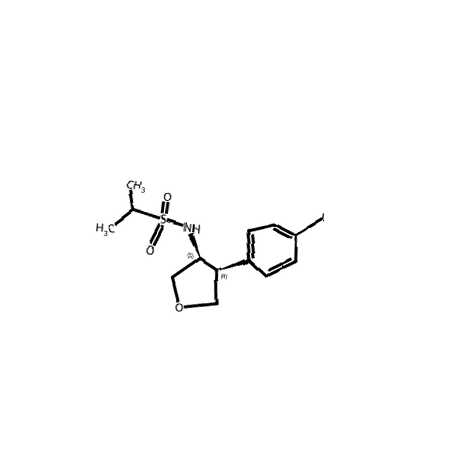 CC(C)S(=O)(=O)N[C@@H]1COC[C@@H]1c1ccc(I)cc1